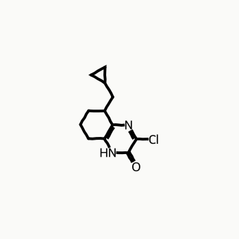 O=c1[nH]c2c(nc1Cl)C(CC1CC1)CCC2